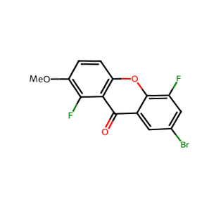 COc1ccc2oc3c(F)cc(Br)cc3c(=O)c2c1F